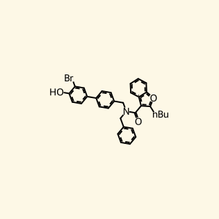 CCCCc1oc2ccccc2c1C(=O)N(Cc1ccccc1)Cc1ccc(-c2ccc(O)c(Br)c2)cc1